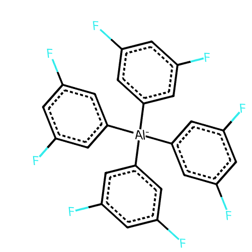 Fc1cc(F)c[c]([Al-]([c]2cc(F)cc(F)c2)([c]2cc(F)cc(F)c2)[c]2cc(F)cc(F)c2)c1